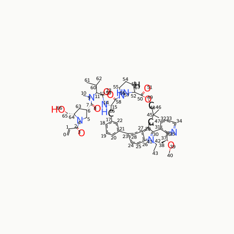 C=CC(=O)N1C[C@@H](C(=O)N(C)C(C(=O)N[C@H]2Cc3cccc(c3)-c3ccc4c(c3)c(c(-c3cccnc3[C@H](C)OC)n4CC)CC(C)(C)COC(=O)[C@@H]3CCCN(N3)C2=O)C(C)C)C[C@H]1CO